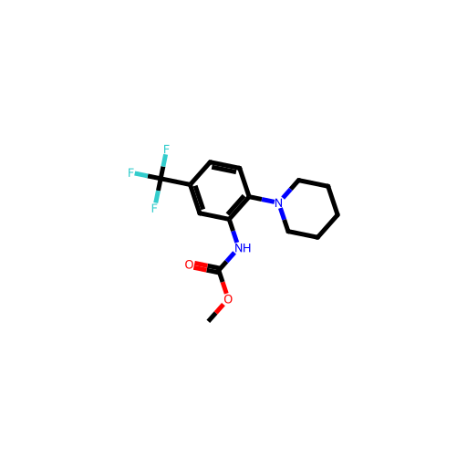 COC(=O)Nc1cc(C(F)(F)F)ccc1N1CCCCC1